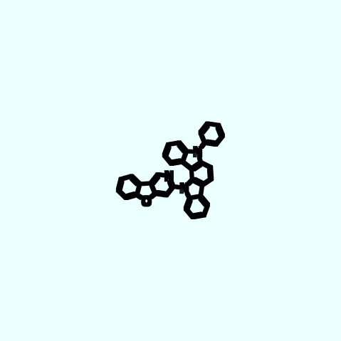 c1ccc(-n2c3ccccc3c3c2ccc2c4ccccc4n(-c4cc5oc6ccccc6c5cn4)c23)cc1